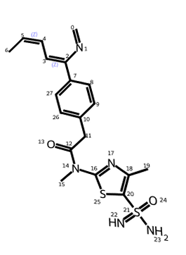 C=N/C(=C\C=C/C)c1ccc(CC(=O)N(C)c2nc(C)c(S(=N)(N)=O)s2)cc1